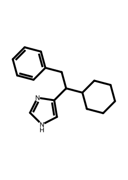 c1ccc(C[C](c2c[nH]cn2)C2CCCCC2)cc1